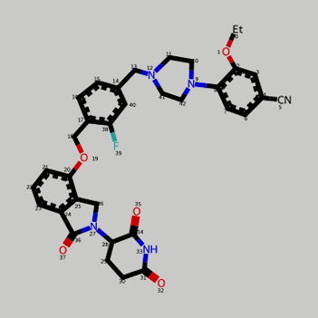 CCOc1cc(C#N)ccc1N1CCN(Cc2ccc(COc3cccc4c3CN(C3CCC(=O)NC3=O)C4=O)c(F)c2)CC1